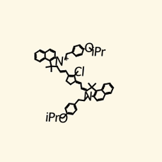 CC(C)Oc1ccc(CCN2/C(=C/C=C3\CCC(/C=C/C4=[N+](CCc5ccc(OC(C)C)cc5)c5ccc6ccccc6c5C4(C)C)=C3Cl)C(C)(C)c3c2ccc2ccccc32)cc1